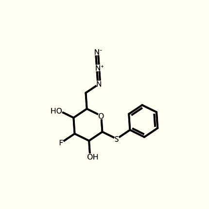 [N-]=[N+]=NCC1OC(Sc2ccccc2)C(O)C(F)C1O